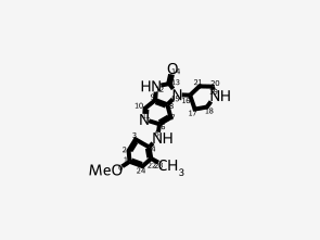 COc1ccc(Nc2cc3c(cn2)[nH]c(=O)n3C2CCNCC2)c(C)c1